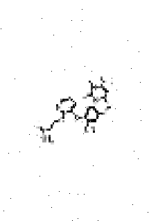 Cn1c(C(F)(F)F)cc(=O)n(-c2cc(Sc3cccnc3OCCC(N)=O)c(C#N)cc2F)c1=O